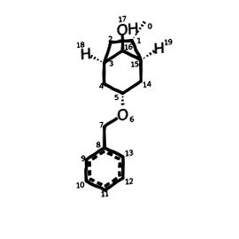 C[C@H]1C[C@@H]2C[C@@H](OCc3ccccc3)C[C@H]1C2O